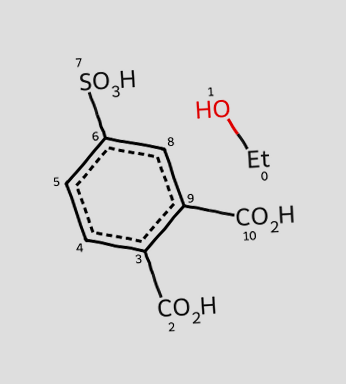 CCO.O=C(O)c1ccc(S(=O)(=O)O)cc1C(=O)O